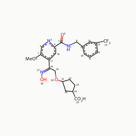 COc1cnc(C(=O)NCc2cccc(C(F)(F)F)c2)cc1C(COC1CCC(C(=O)O)C1)=NO